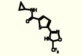 O=C(NC1CC1)c1ccc(C2=NOC(C(F)(F)F)N2)s1